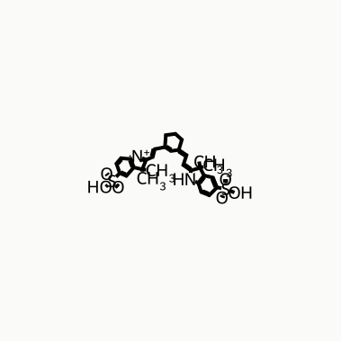 CC1(C)C(C=CC2=CC(=CC=C3Nc4ccc(S(=O)(=O)O)cc4C3(C)C)CCC2)=[N+]c2ccc(S(=O)(=O)O)cc21